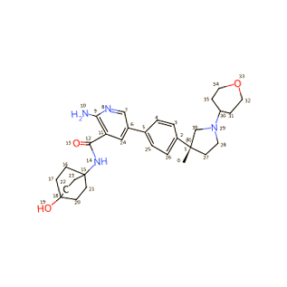 C[C@]1(c2ccc(-c3cnc(N)c(C(=O)NC45CCC(O)(CC4)CC5)c3)cc2)CCN(C2CCOCC2)C1